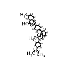 CCC(CC)c1ccc(N(Cc2cccc(-c3ccc(COc4ccc(C)cc4C(=O)O)cc3)c2)C(C)C)cc1